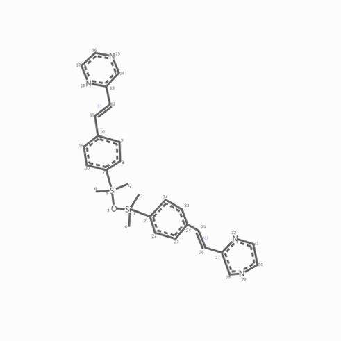 C[Si](C)(O[Si](C)(C)c1ccc(/C=C/c2cnccn2)cc1)c1ccc(/C=C/c2cnccn2)cc1